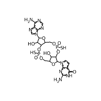 Nc1nc2c(ccn2C2OC3COP(=O)(S)OC4C(COP(=O)(S)OC2C3O)OC(n2cnc3c(N)ncnc32)C4O)c(=O)[nH]1